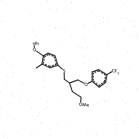 CCCOc1ccc(SCC(CCOC)COc2ccc(C(F)(F)F)cc2)cc1C